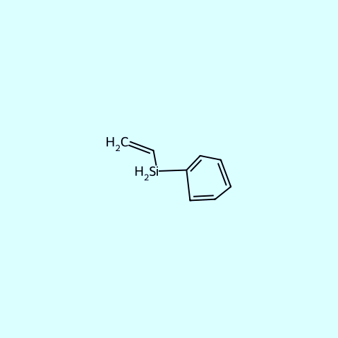 C=C[SiH2]c1ccccc1